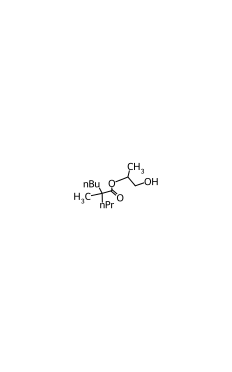 CCCCC(C)(CCC)C(=O)OC(C)CO